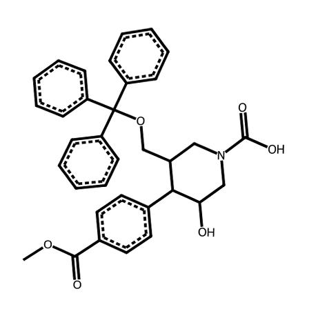 COC(=O)c1ccc(C2C(O)CN(C(=O)O)CC2COC(c2ccccc2)(c2ccccc2)c2ccccc2)cc1